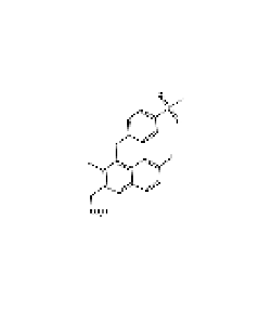 Cc1c(CC(=O)O)cc2ccc(F)cc2c1Cc1ccc(S(C)(=O)=O)cc1